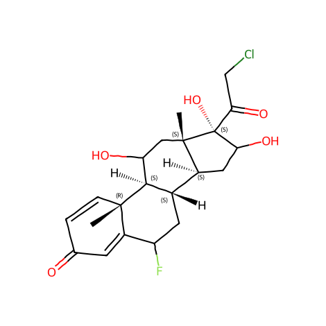 C[C@]12C=CC(=O)C=C1C(F)C[C@@H]1[C@@H]2C(O)C[C@@]2(C)[C@H]1CC(O)[C@]2(O)C(=O)CCl